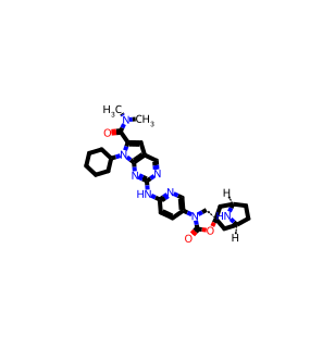 CN(C)C(=O)c1cc2cnc(Nc3ccc(N4C[C@@]5(C[C@H]6CC[C@@H](C5)N6)OC4=O)cn3)nc2n1C1CCCCC1